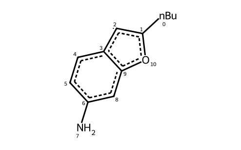 CCCCc1[c]c2ccc(N)cc2o1